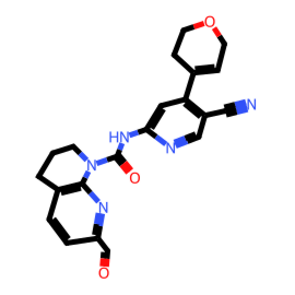 N#Cc1cnc(NC(=O)N2CCCc3ccc(C=O)nc32)cc1C1=CCOCC1